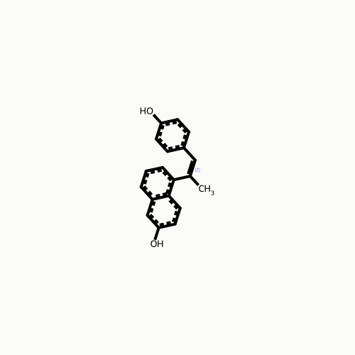 C/C(=C/c1ccc(O)cc1)c1cccc2cc(O)ccc12